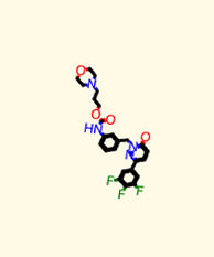 O=C(Nc1cccc(Cn2nc(-c3cc(F)c(F)c(F)c3)ccc2=O)c1)OCCCN1CCOCC1